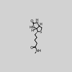 CNC(=O)CCCC[C@@H]1SC[C@H]2NC(=O)N[C@@H]12